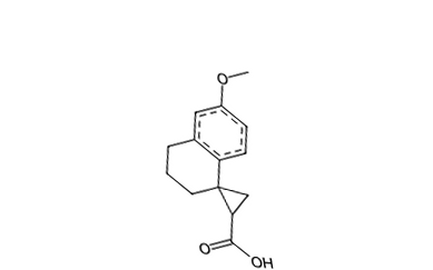 COc1ccc2c(c1)CCCC21CC1C(=O)O